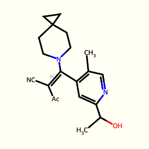 CC(=O)/C(C#N)=C(\c1cc(C(C)O)ncc1C)N1CCC2(CC1)CC2